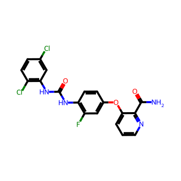 NC(=O)c1ncccc1Oc1ccc(NC(=O)Nc2cc(Cl)ccc2Cl)c(F)c1